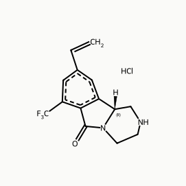 C=Cc1cc2c(c(C(F)(F)F)c1)C(=O)N1CCNC[C@@H]21.Cl